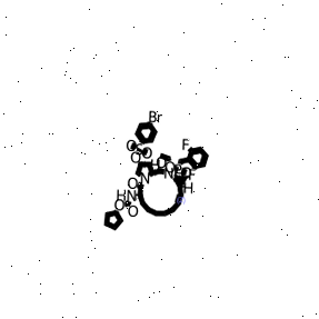 CCOP(=O)(Cc1c(F)cccc1F)[C@@]12C[C@H]1/C=C\CCCCC[C@H](NC(=O)OC1CCCC1)C(=O)N1C[C@@H](OS(=O)(=O)c3ccc(Br)cc3)C[C@H]1C(=O)N2